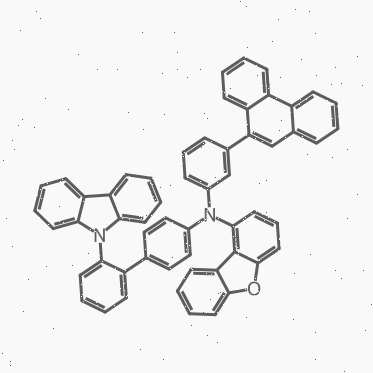 c1cc(-c2cc3ccccc3c3ccccc23)cc(N(c2ccc(-c3ccccc3-n3c4ccccc4c4ccccc43)cc2)c2cccc3oc4ccccc4c23)c1